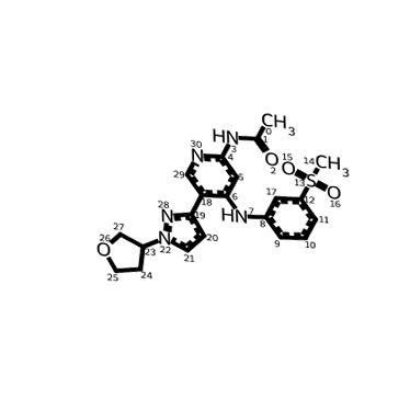 CC(=O)Nc1cc(Nc2cccc(S(C)(=O)=O)c2)c(-c2ccn(C3CCOC3)n2)cn1